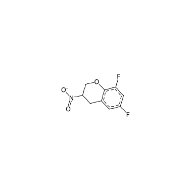 O=[N+]([O-])C1COc2c(F)cc(F)cc2C1